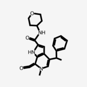 CC(C1=CN(C)C(=C=O)c2[nH]c(C(=O)NC3CCOCC3)cc21)c1ccccc1